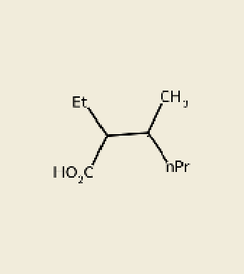 CCC[C](C)C(CC)C(=O)O